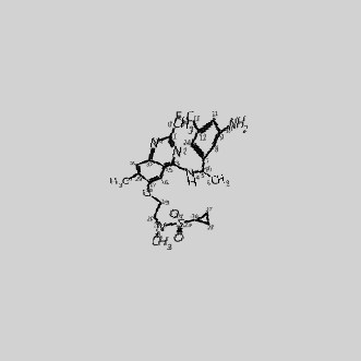 Cc1nc(N[C@H](C)c2cc(N)cc(C(F)(F)F)c2)c2cc(OCCN(C)S(=O)(=O)C3CC3)c(C)cc2n1